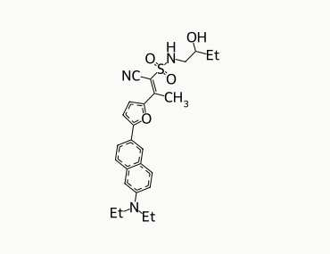 CCC(O)CNS(=O)(=O)/C(C#N)=C(\C)c1ccc(-c2ccc3cc(N(CC)CC)ccc3c2)o1